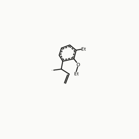 [CH2]C(C=C)c1cccc(CC)c1OCC